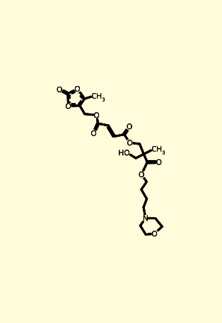 Cc1oc(=O)oc1COC(=O)/C=C/C(=O)OCC(C)(CO)C(=O)OCCCCN1CCOCC1